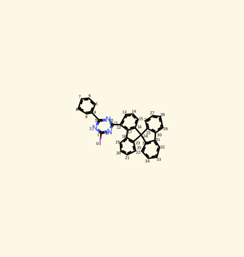 Ic1nc(-c2ccccc2)nc(-c2cccc3c2-c2ccccc2C32c3ccccc3-c3ccccc32)n1